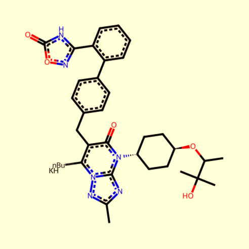 CCCCc1c(Cc2ccc(-c3ccccc3-c3noc(=O)[nH]3)cc2)c(=O)n([C@H]2CC[C@H](OC(C)C(C)(C)O)CC2)c2nc(C)nn12.[KH]